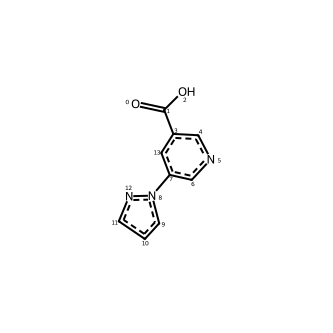 O=C(O)c1cncc(-n2cccn2)c1